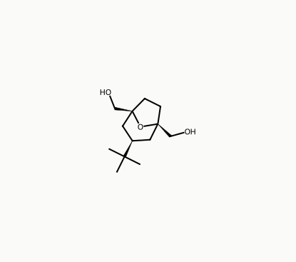 CC(C)(C)[C@H]1C[C@]2(CO)CC[C@](CO)(C1)O2